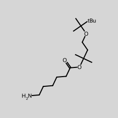 CC(C)(CCOC(C)(C)C(C)(C)C)OC(=O)CCCCCN